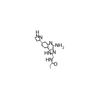 CCC(=O)NCc1nc2c(N)nc3cc(-c4cc[nH]n4)ccc3c2[nH]1